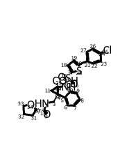 O=C(NC[C@@]1(c2ccccc2)C[C@]1(NS(=O)(=O)c1ccc(-c2ccc(Cl)cc2)s1)C(=O)O)[C@@H]1CCCO1